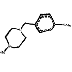 CCCCN1CCN(Cc2ccc(SC)cc2)CC1